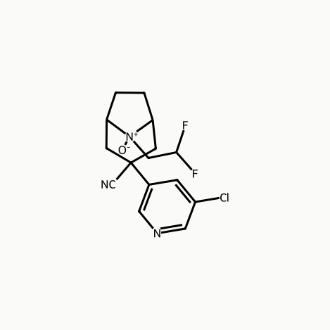 N#CC1(c2cncc(Cl)c2)CC2CCC(C1)[N+]2([O-])CC(F)F